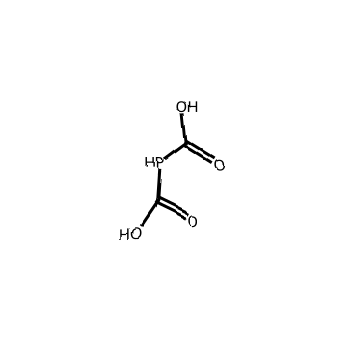 O=C(O)PC(=O)O